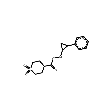 O=C(ONC1CC1c1ccccc1)C1CCS(=O)(=O)CC1